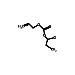 C=CCOC(=O)OC(Cl)CC